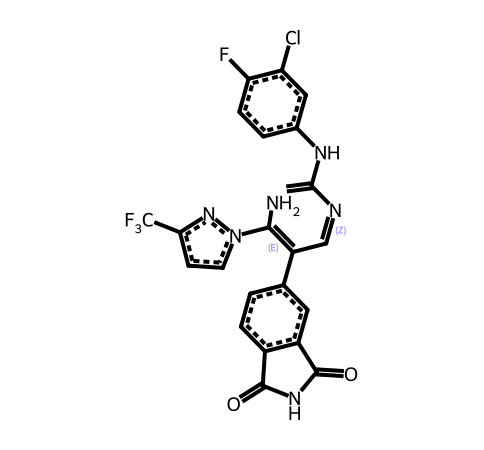 C=C(/N=C\C(=C(/N)n1ccc(C(F)(F)F)n1)c1ccc2c(c1)C(=O)NC2=O)Nc1ccc(F)c(Cl)c1